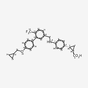 O=C(O)[C@@H]1C[C@H]1c1ccc(NCc2ccc(C(F)(F)F)c(-c3ccc(OCC4CC4)cc3)c2)nc1